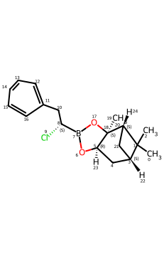 CC1(C)[C@@H]2C[C@H]3OB([C@H](Cl)Cc4ccccc4)O[C@@]3(C)[C@H]1C2